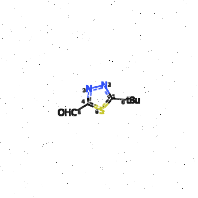 CC(C)(C)c1nnc(C=O)s1